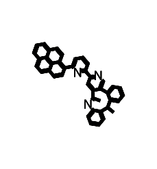 C/C1=N\c2ccccc2C(C)c2ccccc2-c2cnc(-c3cccc(-c4ccc5ccc6cccc7ccc4c5c67)n3)cc21